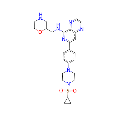 O=S(=O)(C1CC1)N1CCN(c2ccc(-c3cc4nccnc4c(NCC4CNCCO4)n3)cc2)CC1